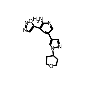 Nc1ncc(-c2cnn(C3CCOCC3)c2)cc1-c1cnno1